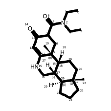 CCN(CC)C(=O)C1C[C@@]2(C)C(=CC1=O)NC[C@@H]1[C@H]2CC[C@]2(C)CCC[C@@H]12